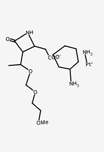 COCCOCOC(C)C1C(=O)NC1CC(=O)[O-].NC1CCCCC1.[NH2][Pt+]